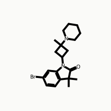 CC1(C)C(=O)N(C2CC(C)(N3CCCCC3)C2)c2cc(Br)ccc21